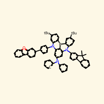 CC(C)(C)c1ccc2c(c1)B1c3ccc(C(C)(C)C)cc3N(c3ccc(-c4ccc5c(c4)oc4ccccc45)cc3)c3cc(N(c4ccccc4)c4ccccc4)cc(c31)N2c1ccc2c(c1)C(C)(C)c1ccccc1-2